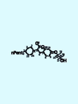 CCCCCc1ccc(-c2cc3ccc(OC(C)(C)C(C)(C)O)cc3oc2=O)cc1